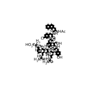 CC(=O)N[C@H](Cc1ccc2ccccc2c1)C(=O)NC(Cc1ccc(Cl)cc1)C(=O)N[C@H](Cc1cccnc1)C(=O)N[C@@H](CO)C(=O)N[C@@H](Cc1ccc(O)cc1)C(=O)N[C@H](CCCNC(N)=O)C(=O)N[C@@H](CC(C)C)C(=O)N[C@@H](CCCNC(=N)N)C(=O)N1CCCC1C(=O)N[C@H](C)C(=O)O